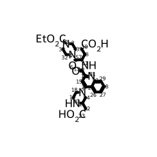 CCOC(=O)N1CCN(C(=O)C(CCC(=O)O)NC(=O)c2cc(N3CCNC(CC(=O)O)C3)c3ccccc3n2)CC1